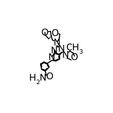 C[C@H]1COCCN1c1nc(N2CCO[C@]3(CCOC3)C2)nc2nc(-c3cccc(C(N)=O)c3)ccc12